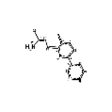 C=c1ccc(-c2ccccc2)c/c1=C/C=C(/C)N